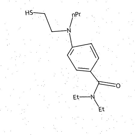 CCCN(CCS)c1ccc(C(=O)N(CC)CC)cc1